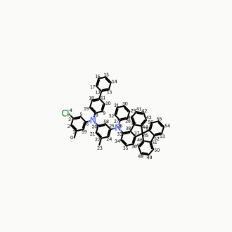 Cc1cc(Cl)cc(N(c2ccc(-c3ccccc3)cc2)c2cc(C)cc(N(c3ccccc3)c3cccc4c3-c3ccccc3C43c4ccccc4-c4ccccc43)c2)c1